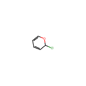 ClC1C=CC=CO1